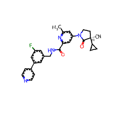 Cc1cc(N2CC[C@@](C#N)(C3CC3)C2=O)cc(C(=O)NCc2cc(F)cc(-c3ccncc3)c2)n1